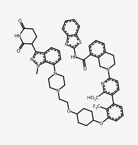 Cn1nc(C2CCC(=O)NC2=O)c2cccc(N3CCN(CCOC4CCC(Oc5cccc(-c6ccc(N7CCc8cccc(C(=O)Nc9nc%10ccccc%10s9)c8C7)nc6C(=O)O)c5C(F)(F)F)CC4)CC3)c21